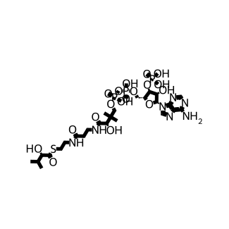 CC(C)[C@@H](O)C(=O)SCCNC(=O)CCNC(=O)[C@H](O)C(C)(C)COP(=O)(O)OP(=O)(O)OC[C@H]1O[C@@H](n2cnc3c(N)ncnc32)[C@H](O)[C@@H]1OP(=O)(O)O